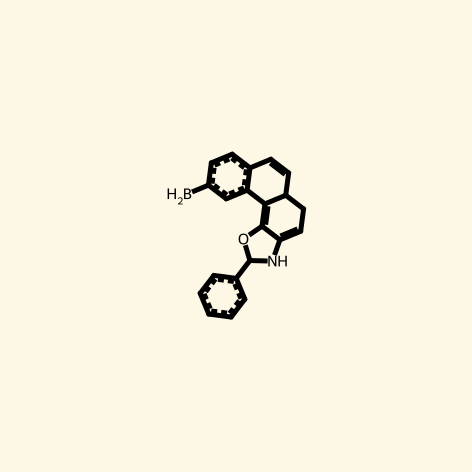 Bc1ccc2c(c1)C1=C3OC(c4ccccc4)NC3=CCC1C=C2